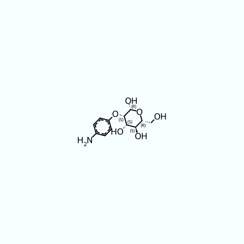 Nc1ccc(O[C@H]2[C@@H](O)[C@H](O)[C@@H](CO)O[C@H]2O)cc1